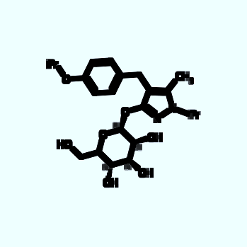 Cc1c(Cc2ccc(OC(C)C)cc2)c(O[C@@H]2OC(CO)[C@@H](O)[C@H](O)[C@@H]2O)nn1C(C)C